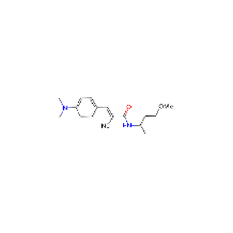 COCCC(C)NC(=O)/C(C#N)=C/c1ccc(N(C)C)cc1